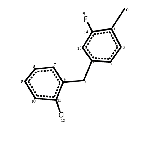 [CH2]c1ccc(Cc2ccccc2Cl)cc1F